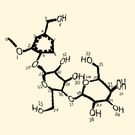 COc1cc(CO)ccc1OC1OC(CO)C(OC2OC(CO)C(O)C(O)C2O)C(O)C1O